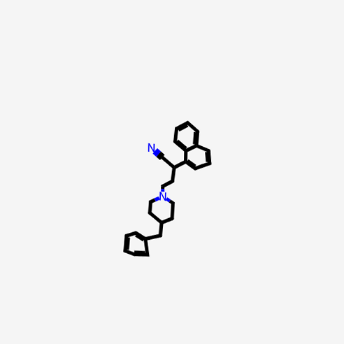 N#CC(CCN1CCC(Cc2ccccc2)CC1)c1cccc2ccccc12